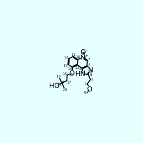 COCCc1nc2c[n+]([O-])c3cccc(OCCC(C)(C)O)c3c2[nH]1